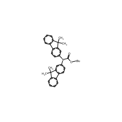 CC(C)(C)OC(=O)N(c1ccc2c(c1)C(C)(C)c1ccccc1-2)c1ccc2c(c1)C(C)(C)c1ccccc1-2